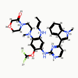 CC=CNc1cc(Nc2nccc(-c3cn(C)c4ccccc34)n2)c(OC(F)F)cc1N(C)CCN1CCOCC1=O